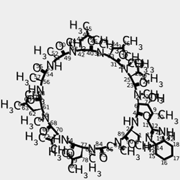 CC[C@@H]1NC(=O)[C@H]([C@H](O)[C@H](C)CC2=N[C@H]3CCCC[C@@H]3N2)N(C)C(=O)[C@H](C(C)C)N(C)C(=O)[C@H](CC(C)C)N(C)C(=O)[C@H](CC(C)C)N(C)C(=O)[C@@H](C)NC(=O)[C@H](C)NC(=O)[C@H](CC(C)C)N(C)C(=O)[C@H](C(C)C)NC(=O)[C@H](CC(C)C)N(C)C(=O)CN(C)C1=O